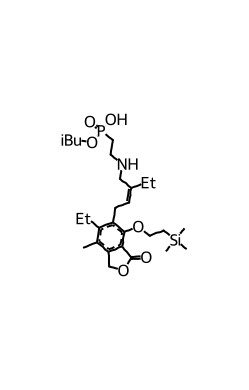 CCC(=CCc1c(CC)c(C)c2c(c1OCC[Si](C)(C)C)C(=O)OC2)CNCCP(=O)(O)OC(C)CC